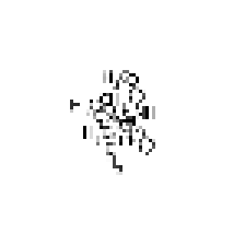 CCC(C)C(CN(Cc1ccccc1Cl)C(=S)Nc1ccc(OC)cc1)NC(=O)OC(C)(C)C